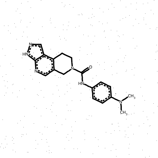 CN(C)c1ccc(NC(=O)N2CCc3c(cnc4[nH]ncc34)C2)cc1